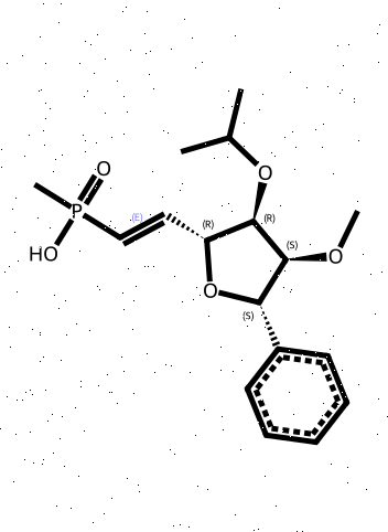 CO[C@@H]1[C@H](OC(C)C)[C@@H](/C=C/P(C)(=O)O)O[C@H]1c1ccccc1